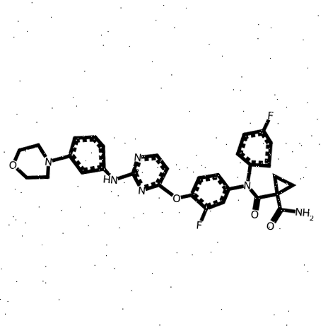 NC(=O)C1(C(=O)N(c2ccc(F)cc2)c2ccc(Oc3ccnc(Nc4cccc(N5CCOCC5)c4)n3)c(F)c2)CC1